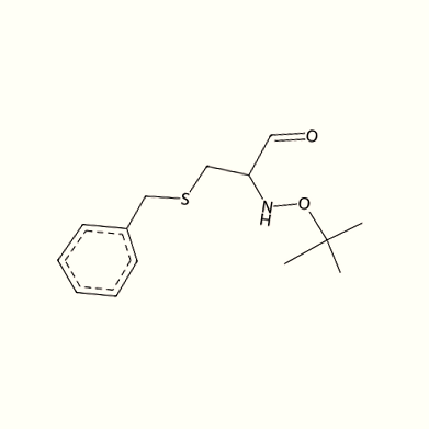 CC(C)(C)ONC(C=O)CSCc1ccccc1